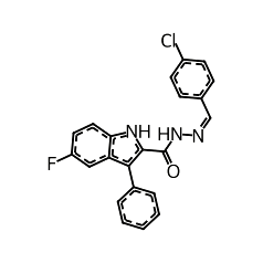 O=C(N/N=C\c1ccc(Cl)cc1)c1[nH]c2ccc(F)cc2c1-c1ccccc1